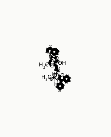 COC(=O)N[C@H](C(=O)NCCCC[C@H](CO)N(CC(C)C)S(=O)(=O)c1cccc2cccnc12)C(c1ccccc1)c1ccccc1